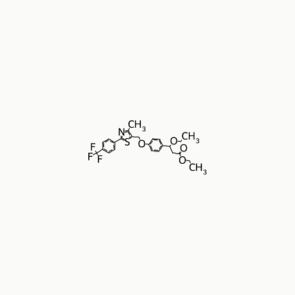 CCOC(=O)CC(OCC)c1ccc(OCc2sc(-c3ccc(C(F)(F)F)cc3)nc2C)cc1